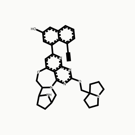 C#Cc1cccc2cc(O)cc(-c3cc4c5c(nc(OCC67CCCN6CCC7)nc5n3)N3CC5CCC(N5)C3CO4)c12